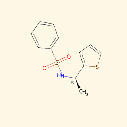 C[C@@H](NS(=O)(=O)c1ccccc1)c1cccs1